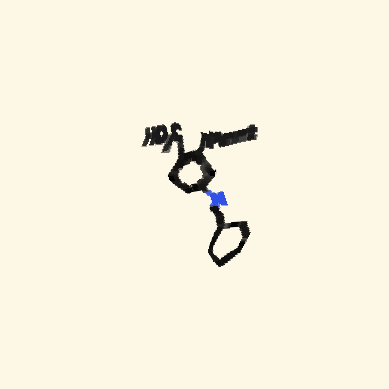 CCCCCc1cc(N=CC2CCCCC2)ccc1C(=O)O